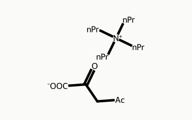 CC(=O)CC(=O)C(=O)[O-].CCC[N+](CCC)(CCC)CCC